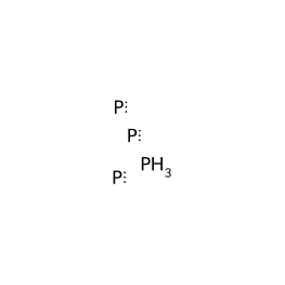 P.[P].[P].[P]